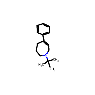 CC(C)(C)N1CC=C(c2ccccc2)CCC1